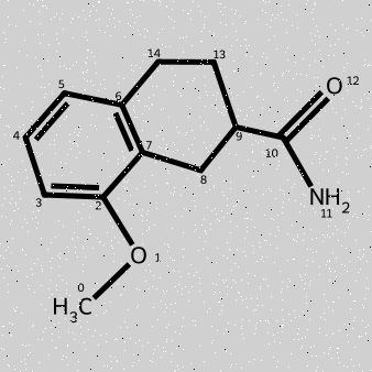 COc1cccc2c1CC(C(N)=O)CC2